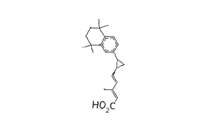 CC(/C=C/[C@@H]1CC1c1ccc2c(c1)C(C)(C)CCC2(C)C)=C\C(=O)O